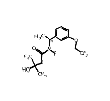 C[C@@H](c1cccc(OCC(F)(F)F)c1)N(F)C(=O)CC(C)(O)C(F)(F)F